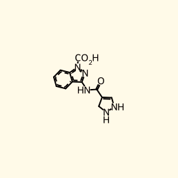 O=C(Nc1nn(C(=O)O)c2ccccc12)C1=CNNC1